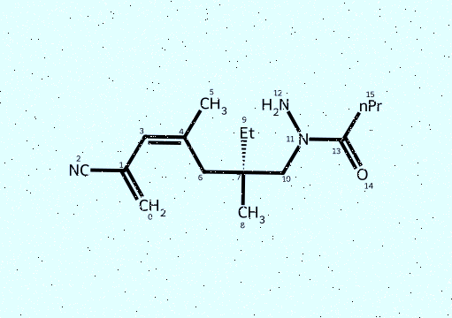 C=C(C#N)/C=C(/C)C[C@@](C)(CC)CN(N)C(=O)CCC